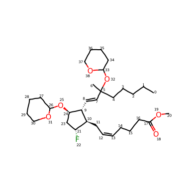 CCCCCC(C)(/C=C/[C@@H]1[C@@H](C/C=C\CCCC(=O)OC)[C@H](F)C[C@H]1OC1CCCCO1)OC1CCCCO1